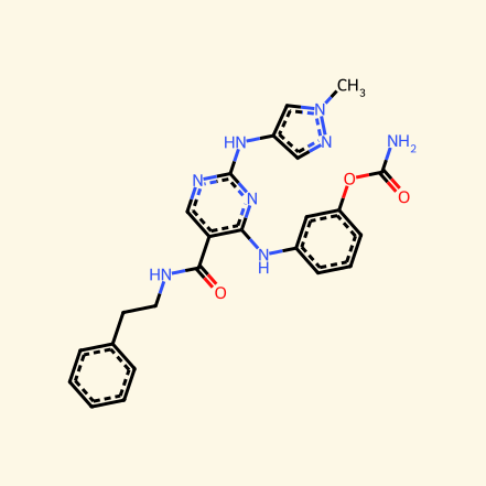 Cn1cc(Nc2ncc(C(=O)NCCc3ccccc3)c(Nc3cccc(OC(N)=O)c3)n2)cn1